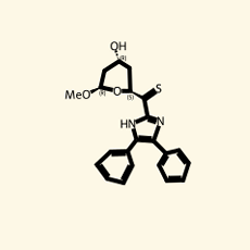 CO[C@H]1C[C@H](O)C[C@@H](C(=S)c2nc(-c3ccccc3)c(-c3ccccc3)[nH]2)O1